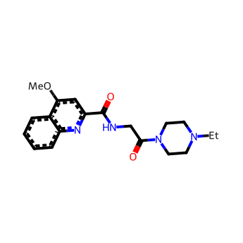 CCN1CCN(C(=O)CNC(=O)c2cc(OC)c3ccccc3n2)CC1